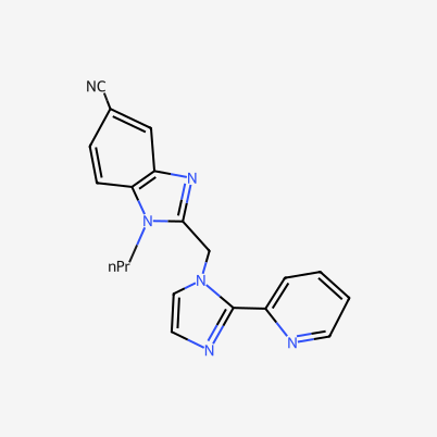 CCCn1c(Cn2ccnc2-c2ccccn2)nc2cc(C#N)ccc21